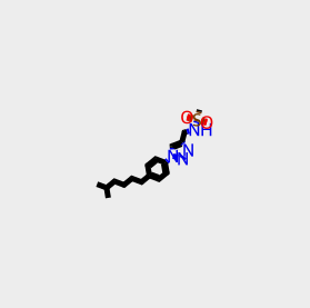 CC(C)CCCCc1ccc(-n2cc(CNS(C)(=O)=O)nn2)cc1